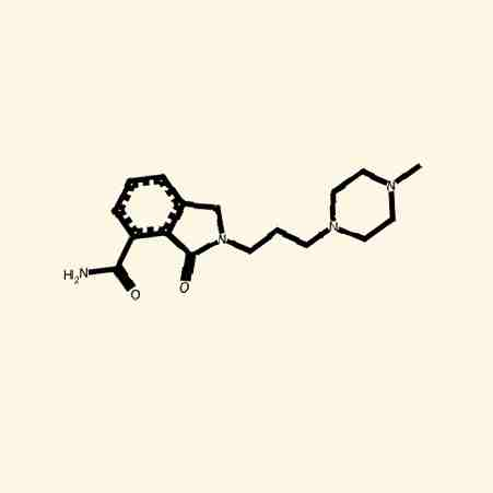 CN1CCN(CCCN2Cc3cccc(C(N)=O)c3C2=O)CC1